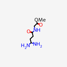 COC(=O)CNC(=O)CCC(N)N